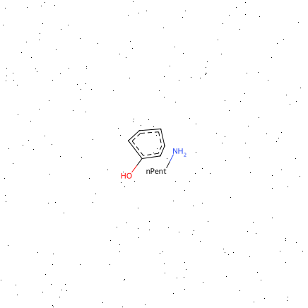 CCCCCN.Oc1ccccc1